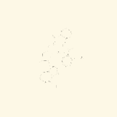 COc1cccc(OC)c1C(=O)Nc1ccccc1C(=O)NCC1OC(n2cnc3c(N)ncnc32)C(O)C1O